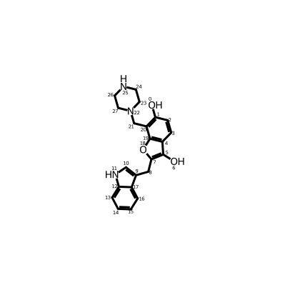 Oc1ccc2c(O)c(Cc3c[nH]c4ccccc34)oc2c1CN1CCNCC1